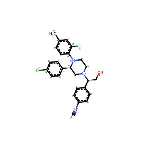 [C-]#[N+]c1ccc([C@H](CO)N2CCN(c3ccc(C)cc3Cl)[C@H](c3ccc(Cl)cc3)C2)cc1